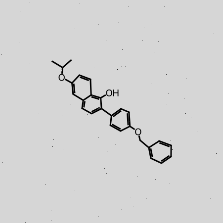 CC(C)Oc1ccc2c(O)c(-c3ccc(OCc4ccccc4)cc3)ccc2c1